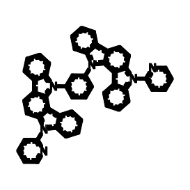 c1ccc(-n2c3ccccc3c3c2ccc2c4ccccc4n(-c4cccc(-n5c6ccccc6c6ccc7c(c8ccccc8n7-c7ccccn7)c65)c4)c23)nc1